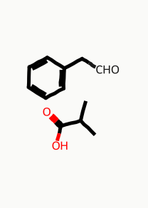 CC(C)C(=O)O.O=CCc1ccccc1